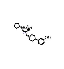 N=N/C(=C\NC1CCCC1)CN1CCC(c2cccc(O)c2)CC1